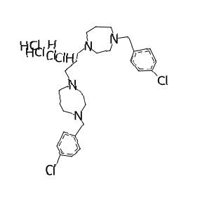 Cl.Cl.Cl.Cl.Clc1ccc(CN2CCCN(CCCN3CCCN(Cc4ccc(Cl)cc4)CC3)CC2)cc1